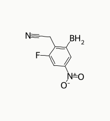 Bc1cc([N+](=O)[O-])cc(F)c1CC#N